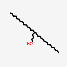 CCCCCCCCCCCCCCC(CCCCO)CCCCCCCCCCCCCC